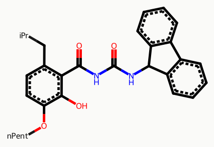 CCCCCOc1ccc(CC(C)C)c(C(=O)NC(=O)NC2c3ccccc3-c3ccccc32)c1O